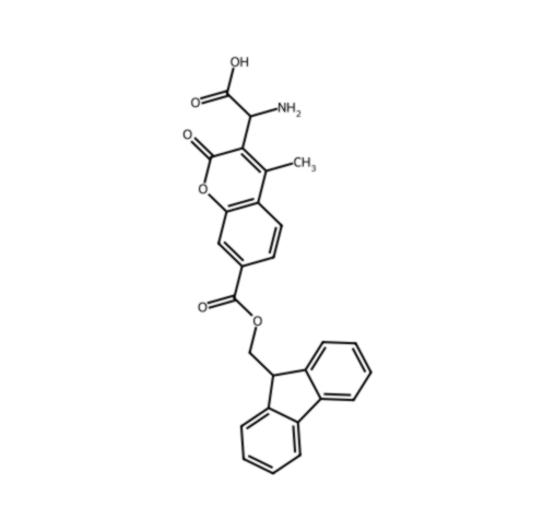 Cc1c(C(N)C(=O)O)c(=O)oc2cc(C(=O)OCC3c4ccccc4-c4ccccc43)ccc12